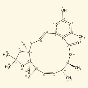 Cc1cc(O)cc2c1C(=O)O[C@@H](C)[C@H](C)/C=C\C(C)[C@H]1OC(C)(C)O[C@H]1C/C=C/2